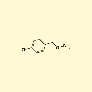 BOCc1ccc(Cl)cc1